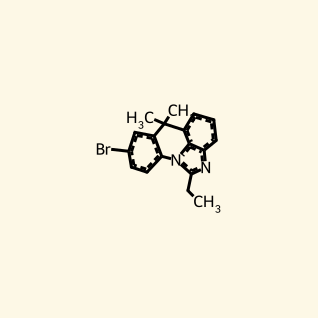 CCc1nc2cccc3c2n1-c1ccc(Br)cc1C3(C)C